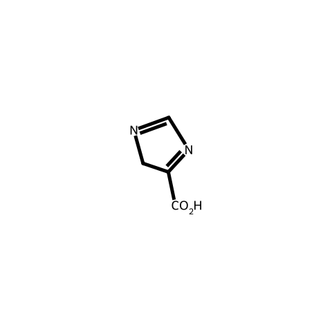 O=C(O)C1=NC=NC1